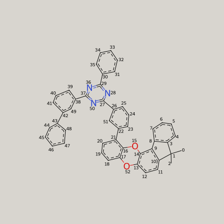 CC1(C)c2ccccc2-c2c1ccc1c2Oc2c(cccc2-c2cccc(-c3nc(-c4ccccc4)nc(-c4cccc(-c5ccccc5)c4)n3)c2)O1